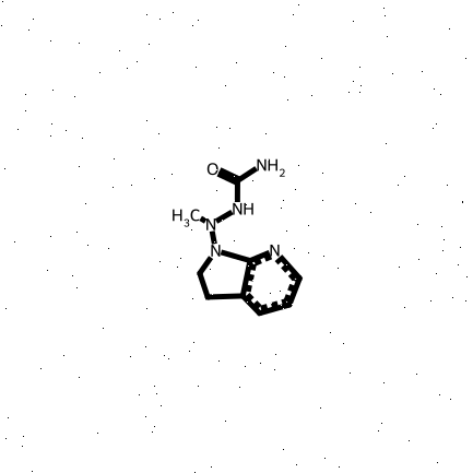 CN(NC(N)=O)N1CCc2cccnc21